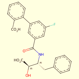 O=C(N[C@H](Cc1ccccc1)[C@@H](O)C(=O)O)c1cc(F)cc(-c2ccccc2C(=O)O)c1